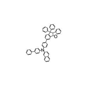 c1ccc(-c2ccc(N(c3ccc(-c4ccc5c(c4)C4Oc6ccccc6C4C5(c4ccccc4)c4ccccc4)cc3)c3ccc4ccccc4c3)cc2)cc1